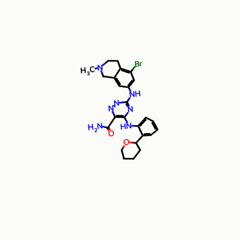 CN1CCc2c(Br)cc(Nc3nnc(C(N)=O)c(Nc4ccccc4C4CCCCO4)n3)cc2C1